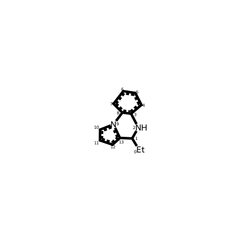 CCC1Nc2ccccc2-n2cccc21